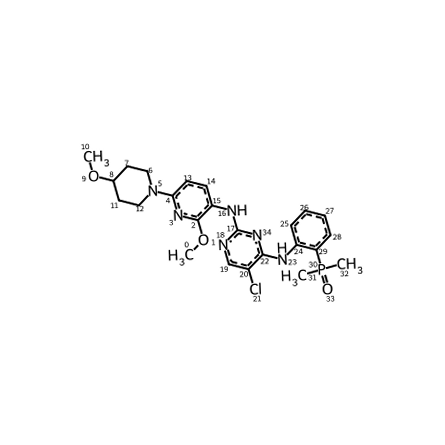 COc1nc(N2CCC(OC)CC2)ccc1Nc1ncc(Cl)c(Nc2ccccc2P(C)(C)=O)n1